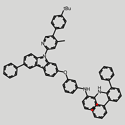 Cc1cc(-n2c3ccc(-c4ccccc4)cc3c3ccc(Oc4cccc(Nc5ccccc5Nc5c(-c6ccccc6)cccc5-c5ccccc5)c4)cc32)ncc1-c1ccc(C(C)(C)C)cc1